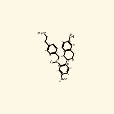 CCN(Cc1ccc(CCNC)cc1)c1cc(OC)ccc1[C@@H]1CCc2cc(O)ccc2C1